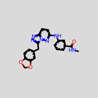 CNC(=O)c1cccc(Nc2ccc3nnc(Cc4ccc5c(c4)OCO5)n3n2)c1